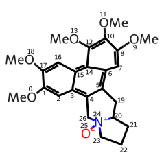 COc1cc2c3c(c4cc(OC)c(OC)c(OC)c4c2cc1OC)CC1CCC[N+]1([O-])C3